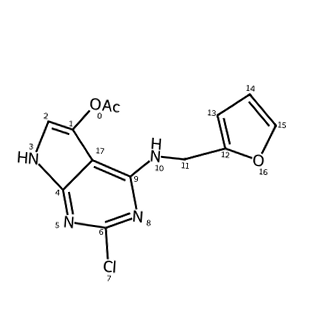 CC(=O)Oc1c[nH]c2nc(Cl)nc(NCc3ccco3)c12